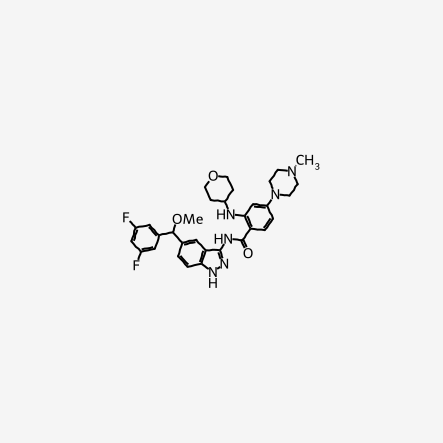 COC(c1cc(F)cc(F)c1)c1ccc2[nH]nc(NC(=O)c3ccc(N4CCN(C)CC4)cc3NC3CCOCC3)c2c1